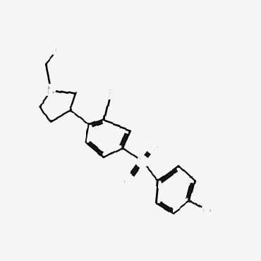 CCN1CCC(c2ccc(S(=O)(=O)c3ccc(O)cc3)cc2F)C1